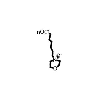 CCCCCCCCCCCCCC[N+]1([O-])CCOCC1